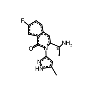 Cc1cc(-n2c([C@H](C)N)cc3ccc(F)cc3c2=O)n[nH]1